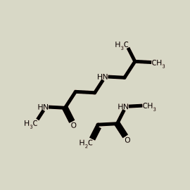 C=CC(=O)NC.CNC(=O)CCNCC(C)C